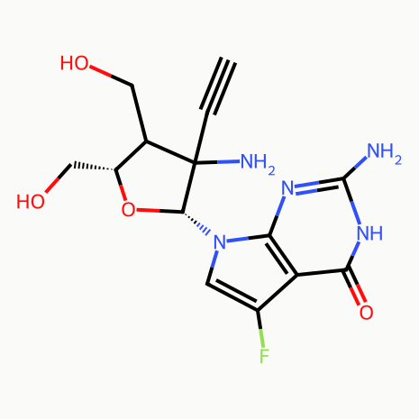 C#CC1(N)C(CO)[C@@H](CO)O[C@H]1n1cc(F)c2c(=O)[nH]c(N)nc21